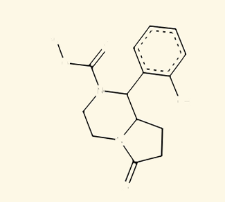 Cc1ccccc1C1C2CCC(=O)N2CCN1C(=O)OC(C)(C)C